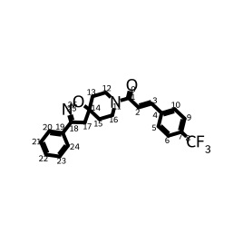 O=C(C=Cc1ccc(C(F)(F)F)cc1)N1CCC2(CC1)CC(c1ccccc1)=NO2